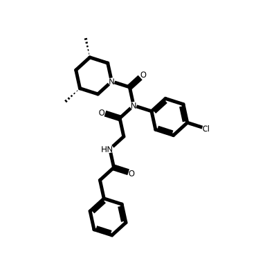 C[C@@H]1C[C@H](C)CN(C(=O)N(C(=O)CNC(=O)Cc2ccccc2)c2ccc(Cl)cc2)C1